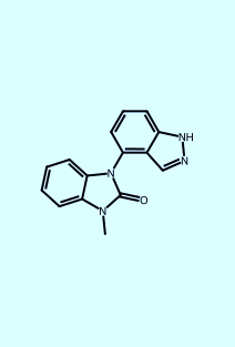 Cn1c(=O)n(-c2cccc3[nH]ncc23)c2ccccc21